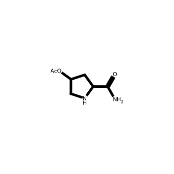 CC(=O)OC1CNC(C(N)=O)C1